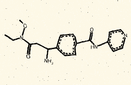 CCN(OC)C(=O)CC(N)c1ccc(C(=O)Nc2ccncc2)cc1